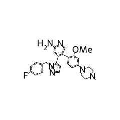 COc1cc(N2CCN(C)CC2)ccc1-c1cnc(N)cc1-c1ccnn1Cc1ccc(F)cc1